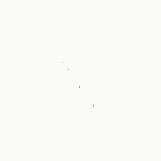 CC/C(=C\CC/C(C)=C/C(=O)OC)CCC1OC1(C)CC